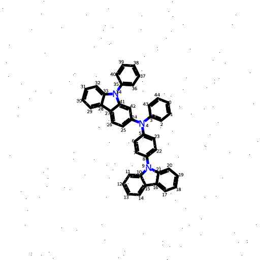 c1ccc(N(c2ccc(-n3c4ccccc4c4ccccc43)cc2)c2ccc3c4ccccc4n(-c4ccccc4)c3c2)cc1